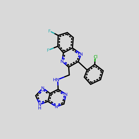 Fc1ccc2nc(-c3ccccc3Cl)c(CNc3ncnc4[nH]cnc34)nc2c1F